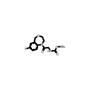 CC(C)(C)OC(=O)NCC(=O)N1CCOCc2cc(F)ccc21